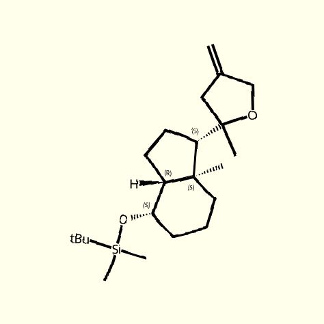 C=C1COC(C)([C@H]2CC[C@H]3[C@@H](O[Si](C)(C)C(C)(C)C)CCC[C@]23C)C1